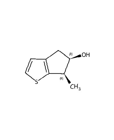 C[C@H]1c2sccc2C[C@H]1O